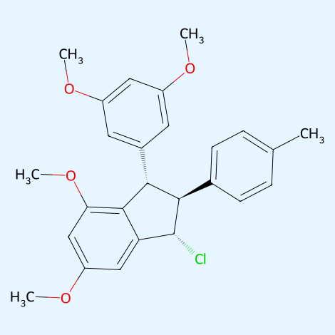 COc1cc(OC)cc([C@H]2c3c(OC)cc(OC)cc3[C@@H](Cl)[C@@H]2c2ccc(C)cc2)c1